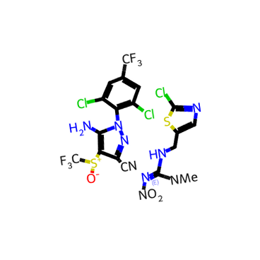 CN/C(=N\[N+](=O)[O-])NCc1cnc(Cl)s1.N#Cc1nn(-c2c(Cl)cc(C(F)(F)F)cc2Cl)c(N)c1[S+]([O-])C(F)(F)F